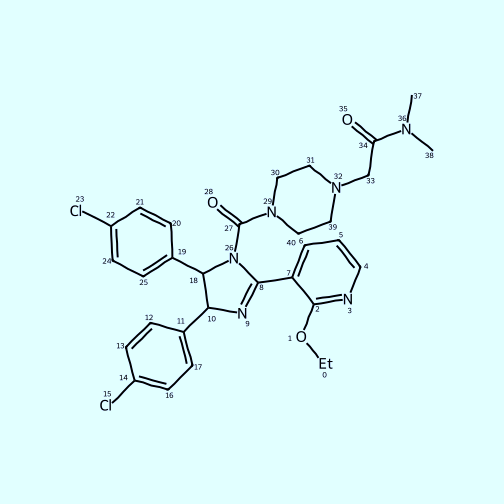 CCOc1ncccc1C1=NC(c2ccc(Cl)cc2)C(c2ccc(Cl)cc2)N1C(=O)N1CCN(CC(=O)N(C)C)CC1